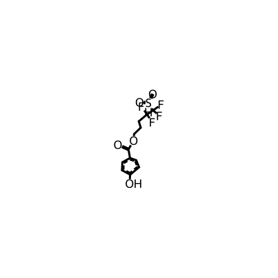 O=C(OCCCC(F)(F)C(F)(F)[SH](=O)=O)c1ccc(O)cc1